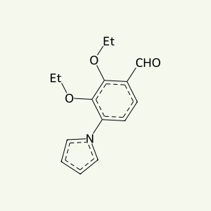 CCOc1c(C=O)ccc(-n2cccc2)c1OCC